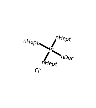 CCCCCCCCCC[P+](CCCCCCC)(CCCCCCC)CCCCCCC.[Cl-]